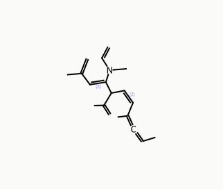 C=CN(C)/C(=C\C(=C)C)C(/C=C\C(C)=C=CC)C(=C)C